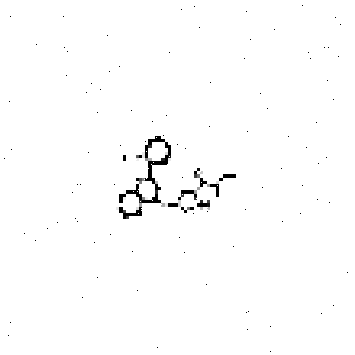 CCNC(=O)[C@H]1C[C@H](Nc2nc(-c3ccccc3O)nc3ccccc23)CN1